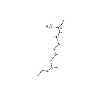 CCOC(C)COCCOCC(C)N